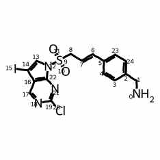 NCc1ccc(C=CCS(=O)(=O)n2cc(I)c3cnc(Cl)nc32)cc1